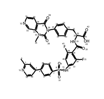 Cc1cc(-c2ccc(S(=O)(=O)Nc3cc(F)c(C(=O)N[C@@H](Cc4ccc(-n5c(=O)c6ccncc6n(C)c5=O)cc4)C(=O)O)c(F)c3)cc2)ccn1